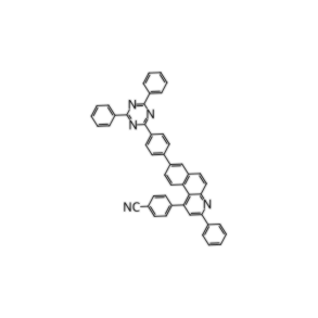 N#Cc1ccc(-c2cc(-c3ccccc3)nc3ccc4cc(-c5ccc(-c6nc(-c7ccccc7)nc(-c7ccccc7)n6)cc5)ccc4c23)cc1